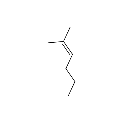 [CH2]C(C)=CCCC